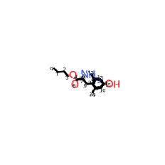 CCCCOC(=O)[C@@H](N)Cc1c(C)cc(O)cc1C